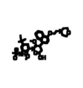 COC(=Nc1cc(C(C)(C)C)cc(NS(C)(=O)=O)c1OC)C(CC(=O)O)c1ccc(OCCN2CCOCC2)c2ccccc12